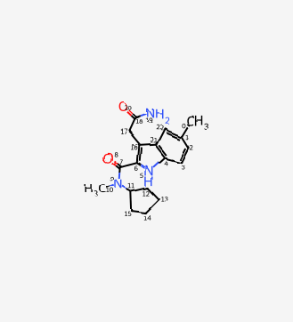 Cc1ccc2[nH]c(C(=O)N(C)C3CCCC3)c(CC(N)=O)c2c1